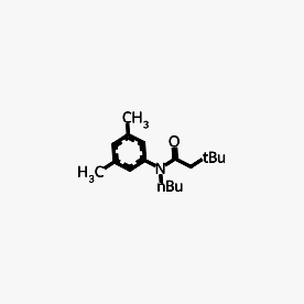 CCCCN(C(=O)CC(C)(C)C)c1cc(C)cc(C)c1